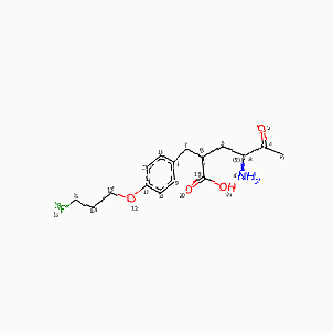 CC(=O)[C@@H](N)CC(Cc1ccc(OCCC[18F])cc1)C(=O)O